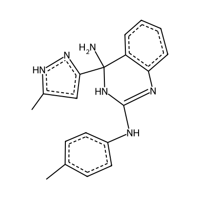 Cc1ccc(NC2=Nc3ccccc3C(N)(c3cc(C)[nH]n3)N2)cc1